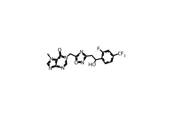 Cn1cnc2ncn(Cc3nc(CC(O)c4ccc(C(F)(F)F)cc4F)no3)c(=O)c21